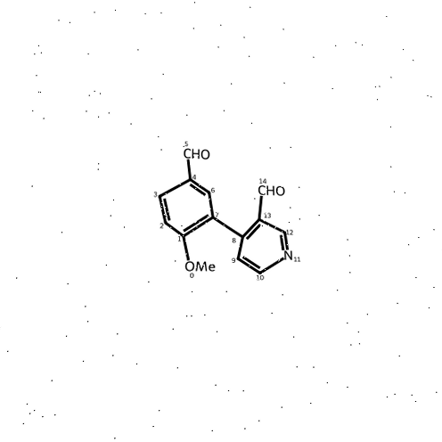 COc1ccc(C=O)cc1-c1ccncc1C=O